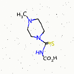 CN1CCN(C(=S)NC(=O)O)CC1